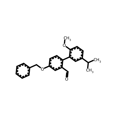 COc1ccc(C(C)C)cc1-c1ccc(OCc2ccccc2)cc1C=O